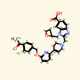 CC(=O)c1ccc(COc2cccc(C3=CCN(Cc4nc5ccc(C(=O)O)cc5n4CC4CCO4)CC3)n2)cc1F